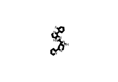 Fc1ccccc1-c1nccc2[nH]c(-c3n[nH]c4cnc(-c5ccccn5)cc34)nc12